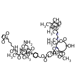 CC[C@H](O)[C@@H](C)[C@H]1O[C@@H]1CC(C)(O)/C=C/C=C(\C)[C@H]1OC(=O)C[C@H](O)CC[C@@](C)(OC(C)=O)[C@@H](OC(=O)N2CCN(C(=O)OCc3ccc(NC(=O)[C@H](CC(N)=O)NC(=O)[C@H](C)NC(=O)[C@H](C)NC(=O)CCCCCN4C(=O)C=CC4=O)cc3)CC2)/C=C/[C@@H]1C